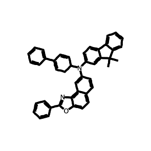 CC1(C)c2ccccc2-c2ccc(N(c3ccc4ccc5oc(-c6ccccc6)nc5c4c3)C3C=CC(c4ccccc4)=CC3)cc21